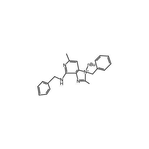 CCCC[N+]1(Cc2ccccc2)C(C)=Nc2c1cc(C)nc2NCc1ccccc1